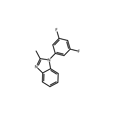 Cc1nc2ccccc2n1-c1cc(F)cc(F)c1